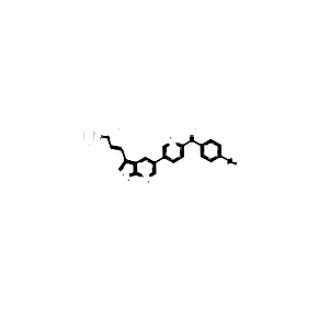 NC(=O)/C=C/c1c[nH]c2ncc(-c3ccc(C(=O)c4ccc(C(F)(F)F)cc4)nc3)cc12